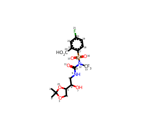 CC1(C)OCC(C(O)CNC(=O)N(C(F)(F)F)S(=O)(=O)c2ccc(F)cc2C(=O)O)O1